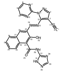 [C-]#[N+]c1cnn(-c2ncccn2)c1/N=N/c1cc2ccccc2c(C(=O)Nc2ncn[nH]2)c1O